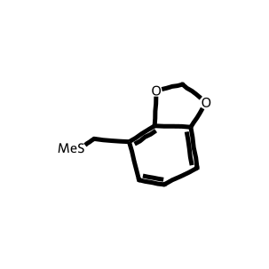 CSCc1cccc2c1OCO2